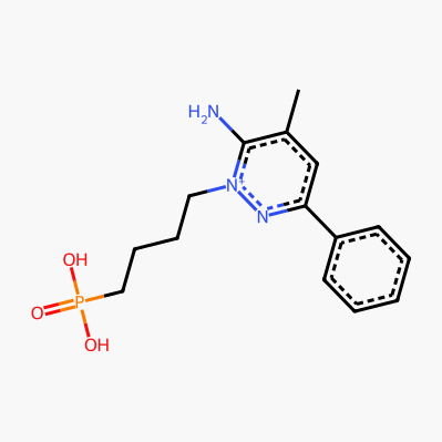 Cc1cc(-c2ccccc2)n[n+](CCCCP(=O)(O)O)c1N